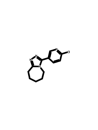 Clc1ccc(-c2nnc3n2CCCCC3)cn1